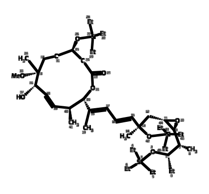 CC[C@H](O[Si](CC)(CC)CC)[C@@H](C)[C@@H]1O[C@H]1C[C@](C)(/C=C/C=C(\C)[C@H]1OC(=O)C[C@H](O[Si](CC)(CC)CC)CC[C@@](C)(OC)[C@@H](O)/C=C/[C@@H]1C)O[Si](CC)(CC)CC